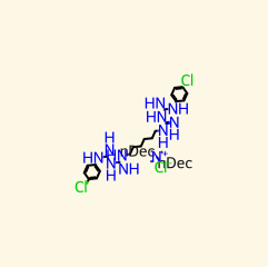 CCCCCCCCCC[N+](C)(C)CCCCCCCCCC.N=C(NCCCCCCNC(=N)NC(=N)Nc1ccc(Cl)cc1)NC(=N)Nc1ccc(Cl)cc1.[Cl-]